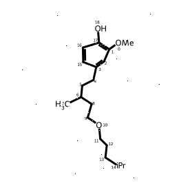 COc1cc(CCC(C)CCOCCCC(C)C)ccc1O